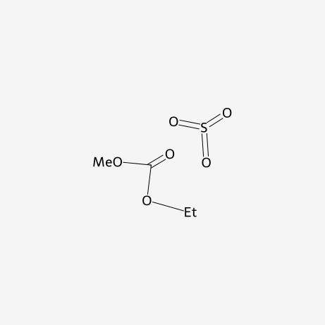 CCOC(=O)OC.O=S(=O)=O